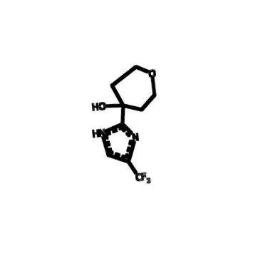 OC1(c2nc(C(F)(F)F)c[nH]2)CCOCC1